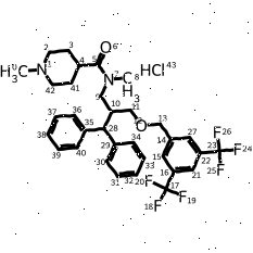 CN1CCC(C(=O)N(C)CC(COCc2cc(C(F)(F)F)cc(C(F)(F)F)c2)C(c2ccccc2)c2ccccc2)CC1.Cl